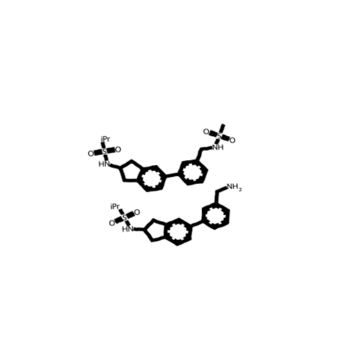 CC(C)S(=O)(=O)NC1Cc2ccc(-c3cccc(CN)c3)cc2C1.CC(C)S(=O)(=O)NC1Cc2ccc(-c3cccc(CNS(C)(=O)=O)c3)cc2C1